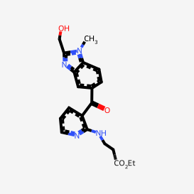 CCOC(=O)CCNc1ncccc1C(=O)c1ccc2c(c1)nc(CO)n2C